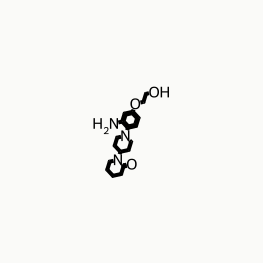 Nc1cc(OCCO)ccc1N1CCC(N2CCCCC2=O)CC1